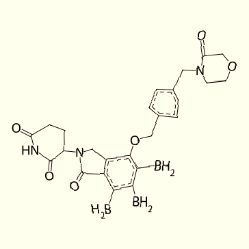 Bc1c(B)c(OCc2ccc(CN3CCOCC3=O)cc2)c2c(c1B)C(=O)N(C1CCC(=O)NC1=O)C2